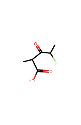 CC(F)C(=O)C(C)C(=O)O